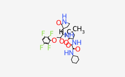 CC(C)CC(NC(=O)C(=O)NC1CCCCC1)C(=O)NC(CC1CCNC1=O)C(=O)COc1c(F)c(F)cc(F)c1F